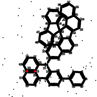 c1ccc(-c2ccc(-c3ccccc3)c(N(c3ccccc3)c3ccc4c5c(ccc4c3)-c3ccc4ccccc4c3C53c4ccccc4-c4ccccc43)c2)cc1